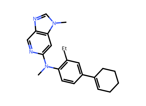 CCc1cc(C2=CCCCC2)ccc1N(C)c1cc2c(cn1)ncn2C